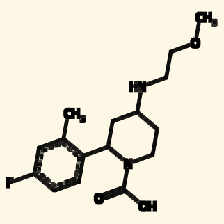 COCCNC1CCN(C(=O)O)C(c2ccc(F)cc2C)C1